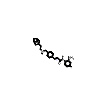 CN(CCC1CC2CC(C1)C2)Cc1ccc(/C=C/C(=O)Nc2ccc(F)cc2N)cc1